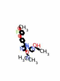 CC#CC(O)N1CCC[C@@H](n2nc(-c3ccc(Oc4cccc(OC)c4F)cc3)c3cncc(OCCN(C)C)c32)C1